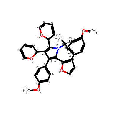 COc1ccc(-c2ccoc2-c2c(-c3ccc(OC)cc3)c(C3C=CC=CO3)c(C3C=CC=CO3)n2C(C)(C)C)cc1